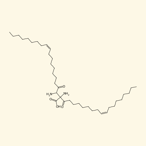 CCCCCCCC/C=C\CCCCCCCC(=O)C(N)C(N)(C(=O)O)C(=O)CCCCCCC/C=C\CCCCCCCC